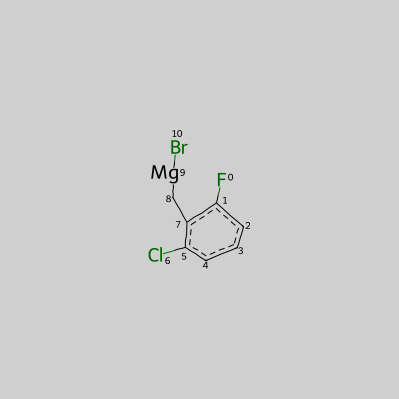 Fc1cccc(Cl)c1[CH2][Mg][Br]